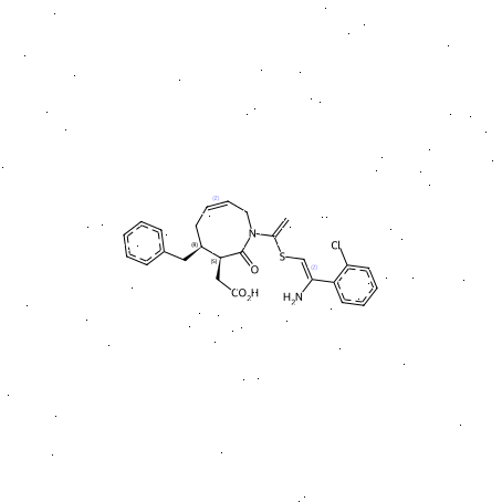 C=C(S/C=C(\N)c1ccccc1Cl)N1C/C=C\C[C@H](Cc2ccccc2)[C@H](CC(=O)O)C1=O